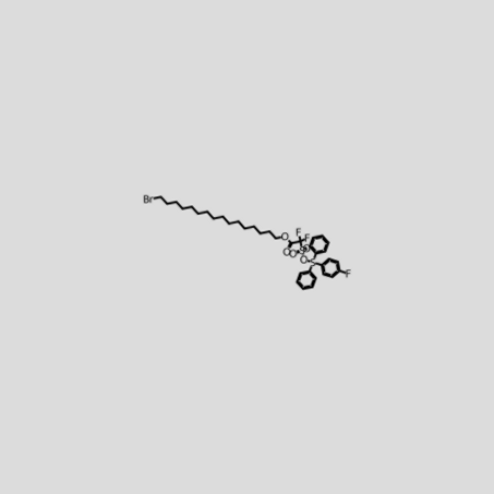 O=C(OCCCCCCCCCCCCCCCCBr)C(F)(F)S(=O)(=O)OS(c1ccccc1)(c1ccccc1)c1ccc(F)cc1